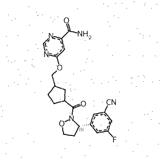 N#Cc1cc(F)cc([C@@H]2CCON2C(=O)C2CCC(COc3cc(C(N)=O)ncn3)C2)c1